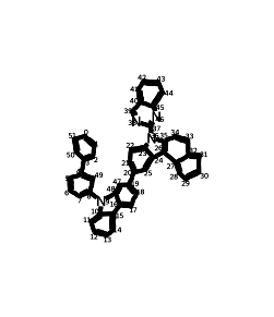 c1ccc(-c2cccc(-n3c4ccccc4c4ccc(-c5ccc6c(c5)c5c7ccccc7ccc5n6-c5ncc6ccccc6n5)cc43)c2)cc1